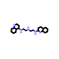 c1ccc2nc(NCCNCCNc3ccnc4ccccc34)ccc2c1